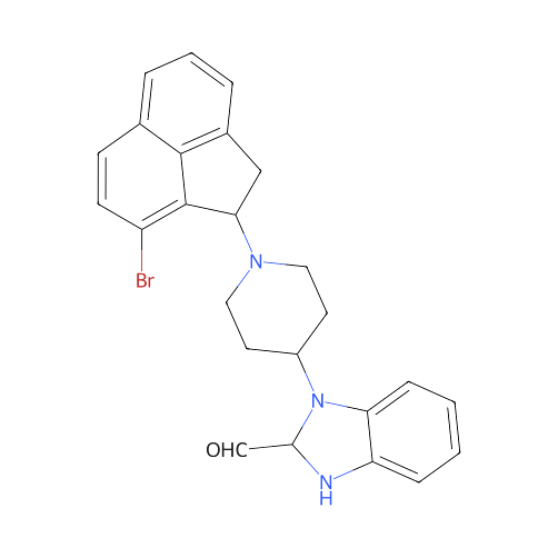 O=CC1Nc2ccccc2N1C1CCN(C2Cc3cccc4ccc(Br)c2c34)CC1